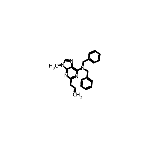 C=CCc1nc(N(Cc2ccccc2)Cc2ccccc2)c2ncn(C)c2n1